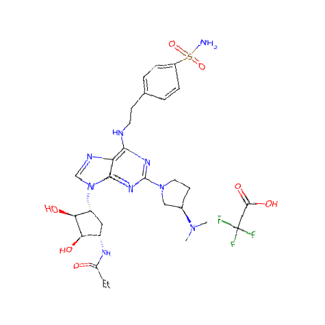 CCC(=O)N[C@H]1C[C@@H](n2cnc3c(NCCc4ccc(S(N)(=O)=O)cc4)nc(N4CC[C@@H](N(C)C)C4)nc32)[C@H](O)[C@@H]1O.O=C(O)C(F)(F)F